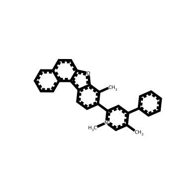 Cc1c[n+](C)c(-c2ccc3c(oc4ccc5ccccc5c43)c2C)cc1-c1ccccc1